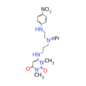 CCCN(CCCNc1cc(=O)n(C)c(=O)n1C)CCNc1ccc([N+](=O)[O-])cc1